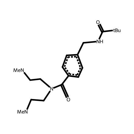 CNCCN(CCNC)C(=O)c1ccc(CNC(=O)C(C)(C)C)cc1